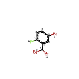 Fc1ccc(Br)cc1C(Br)Br